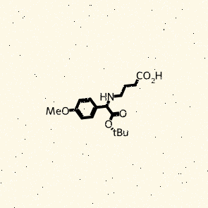 COc1ccc(C(NCCCC(=O)O)C(=O)OC(C)(C)C)cc1